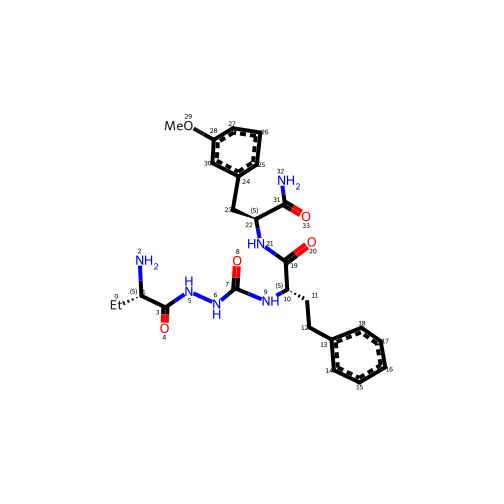 CC[C@H](N)C(=O)NNC(=O)N[C@@H](CCc1ccccc1)C(=O)N[C@@H](Cc1cccc(OC)c1)C(N)=O